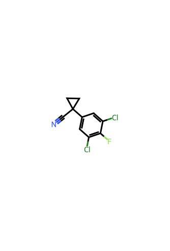 N#CC1(c2cc(Cl)c(F)c(Cl)c2)CC1